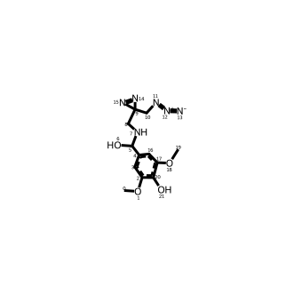 COc1cc(C(O)NCC2(CN=[N+]=[N-])N=N2)cc(OC)c1O